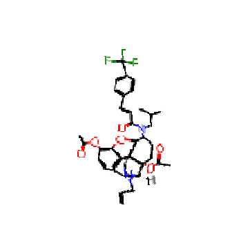 C=CCN1CC[C@]23c4c5ccc(OC(C)=O)c4OC2C(N(CC(C)C)C(=O)/C=C/c2ccc(C(F)(F)F)cc2)CC[C@@]3(OC(C)=O)[C@H]1C5